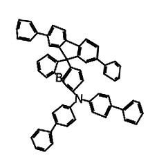 Brc1ccccc1C1(c2ccc(N(c3ccc(-c4ccccc4)cc3)c3ccc(-c4ccccc4)cc3)cc2)c2cc(-c3ccccc3)ccc2-c2ccc(-c3ccccc3)cc21